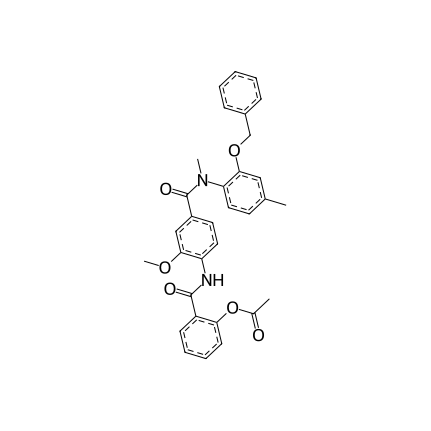 COc1cc(C(=O)N(C)c2ccc(C)cc2OCc2ccccc2)ccc1NC(=O)c1ccccc1OC(C)=O